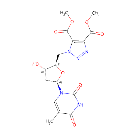 COC(=O)c1nnn(C[C@H]2O[C@@H](n3cc(C)c(=O)[nH]c3=O)C[C@@H]2O)c1C(=O)OC